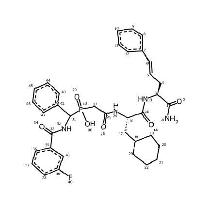 NC(=O)[C@H](C/C=C/c1ccccc1)NC(=O)[C@H](CC1CCCCC1)NC(=O)CP(=O)(O)C(NC(=O)c1cccc(F)c1)c1ccccc1